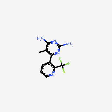 Cc1c(N)nc(N)nc1-c1cccnc1C(F)(F)F